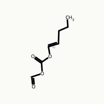 CCC/C=C/OC(=O)O[C]=O